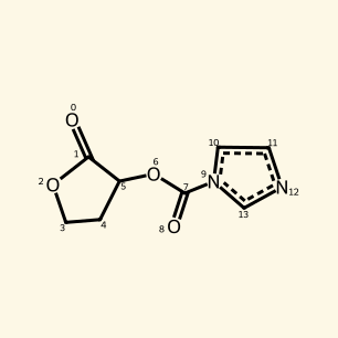 O=C1OCCC1OC(=O)n1ccnc1